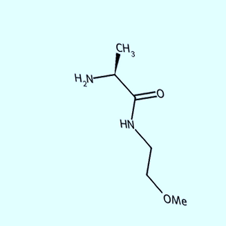 COCCNC(=O)[C@H](C)N